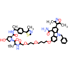 Cc1ncsc1-c1ccc([C@H](C)NC(=O)[C@@H]2C[C@@H](O)CN2C(=O)[C@@H](NC(=O)COCCCOCCCCOc2ccc3c(c2)c2c(C(N)=O)cc(-c4c(C)noc4C)cc2n3Cc2ccccc2)C(C)(C)C)cc1